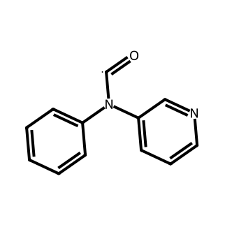 O=[C]N(c1ccccc1)c1cccnc1